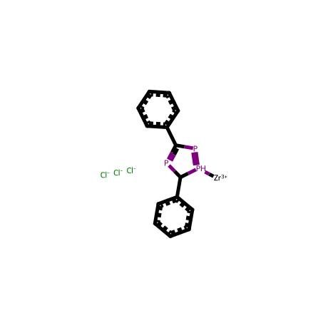 [Cl-].[Cl-].[Cl-].[Zr+3][PH]1=PC(c2ccccc2)=PC1c1ccccc1